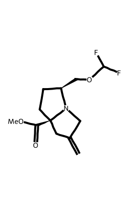 C=C1CN2[C@H](COC(F)F)CC[C@@]2(C(=O)OC)C1